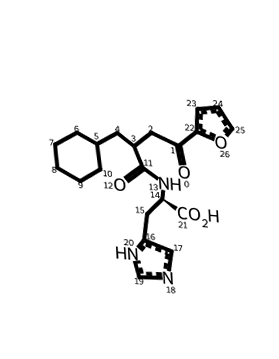 O=C(CC(CC1CCCCC1)C(=O)N[C@H](Cc1cnc[nH]1)C(=O)O)c1ccco1